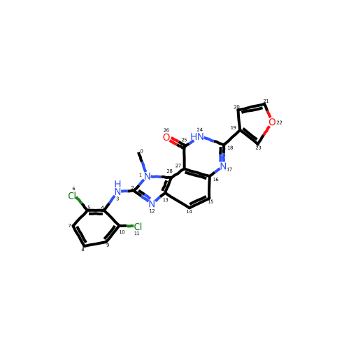 Cn1c(Nc2c(Cl)cccc2Cl)nc2ccc3nc(-c4ccoc4)[nH]c(=O)c3c21